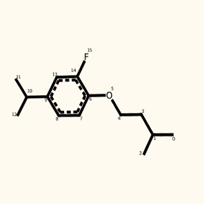 CC(C)CCOc1ccc(C(C)C)cc1F